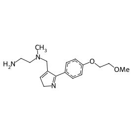 COCCOc1ccc(C2=NCC=C2CN(C)CCN)cc1